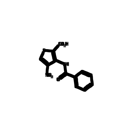 O=C(Nc1c([N+](=O)[O-])csc1C(=O)O)c1ccccc1